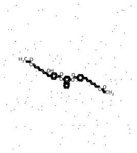 C=CC(=O)OCCCCCCCC1CCC(C(=O)Oc2ccc(OC(=O)c3ccc(CC(O)CCCCCCOC(=O)C=C)cc3)c3c2C2CCC3C2)CC1